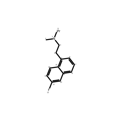 CC(C)N(C)CCc1cccc2cc(F)ccc12